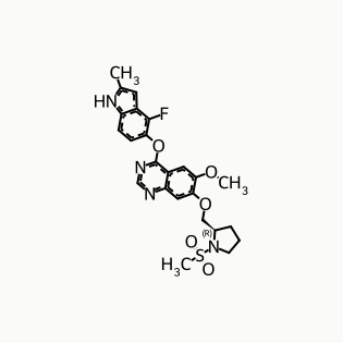 COc1cc2c(Oc3ccc4[nH]c(C)cc4c3F)ncnc2cc1OC[C@H]1CCCN1S(C)(=O)=O